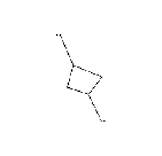 [CH2]C1CC([CH2])C1